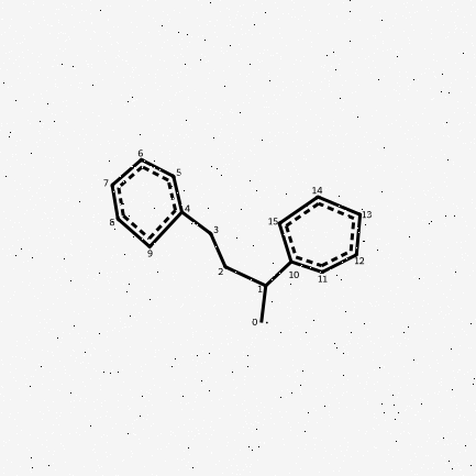 [CH2]C(CCc1ccccc1)c1ccccc1